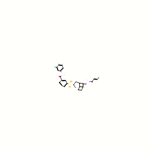 C/C=C/C(=O)NC[C@@]1(O)C2C[C@@H](S(=O)(=O)c3cc(C(=O)Nc4cc(F)c(F)c(F)c4)ccc3Cl)C[C@@]23CC[C@@H]31